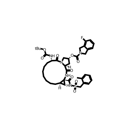 Cc1ccccc1CS(=O)(=O)NC(=O)[C@@]12C[C@H]1CCCCCCC[C@H](NC(=O)OC(C)(C)C)C(=O)N1C[C@H](OC(=O)N3Cc4cccc(F)c4C3)C[C@H]1C(=O)N2